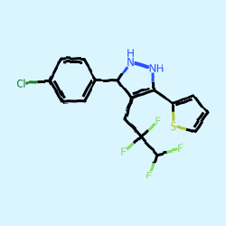 FC(F)C(F)(F)CC1=C(c2cccs2)NNC1c1ccc(Cl)cc1